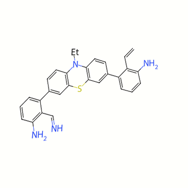 C=Cc1c(N)cccc1-c1ccc2c(c1)Sc1cc(-c3cccc(N)c3C=N)ccc1N2CC